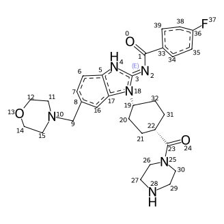 O=C(/N=c1\[nH]c2ccc(CN3CCOCC3)cc2n1[C@H]1CC[C@@H](C(=O)N2CCNCC2)CC1)c1ccc(F)cc1